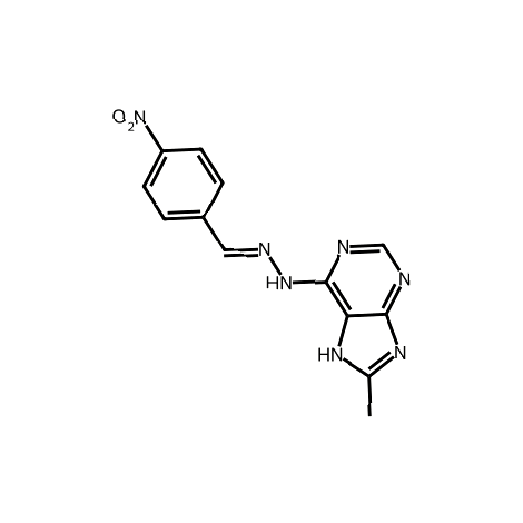 Cc1nc2ncnc(NN=Cc3ccc([N+](=O)[O-])cc3)c2[nH]1